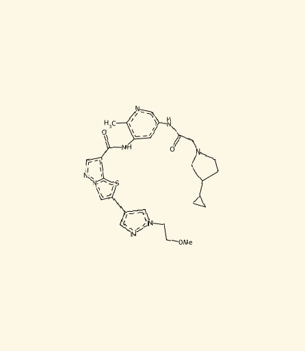 COCCn1cc(-c2cn3ncc(C(=O)Nc4cc(NC(=O)CN5CCC(C6CC6)C5)cnc4C)c3s2)cn1